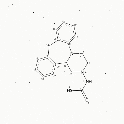 O=C(S)NN1CCN2c3ccccc3Cc3ccccc3C2C1